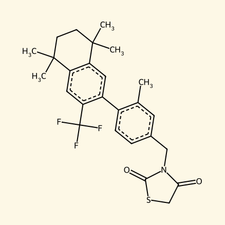 Cc1cc(CN2C(=O)CSC2=O)ccc1-c1cc2c(cc1C(F)(F)F)C(C)(C)CCC2(C)C